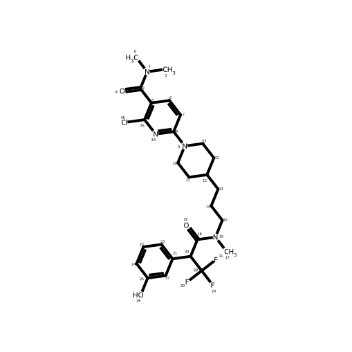 CN(C)C(=O)c1ccc(N2CCC(CCCN(C)C(=O)C(c3cccc(O)c3)C(F)(F)F)CC2)nc1Cl